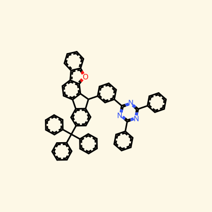 c1ccc(-c2nc(-c3ccccc3)nc(-c3cccc(C4c5ccc(C(c6ccccc6)(c6ccccc6)c6ccccc6)cc5-c5ccc6c(oc7ccccc76)c54)c3)n2)cc1